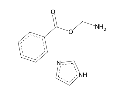 NCOC(=O)c1ccccc1.c1c[nH]cn1